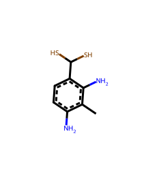 Cc1c(N)ccc(C(S)S)c1N